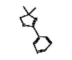 CC1(C)COC(c2c[c]ccc2)=N1